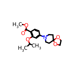 COC(=O)c1ccc(N2CCC3(CC2)OCCO3)cc1OC(C)C